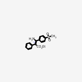 CCOC(=O)/C(=C(/N)c1ccc(S(C)(=O)=O)cc1)c1ccccc1